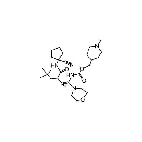 CN1CCC(COC(=O)N/C(=N\C(CC(C)(C)C)C(=O)NC2(C#N)CCCC2)N2CCOCC2)CC1